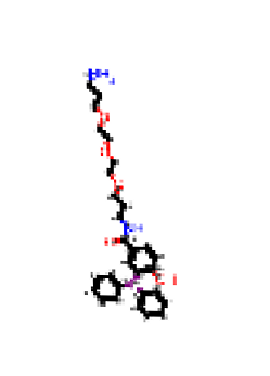 NCCCOCCOCCOCCCNC(=O)c1ccc(O)c(P(c2ccccc2)c2ccccc2)c1